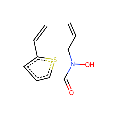 C=CCN(O)C=O.C=Cc1cccs1